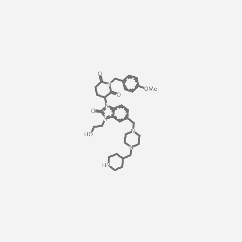 COc1ccc(CN2C(=O)CCC(n3c(=O)n(CCO)c4cc(CN5CCN(CC6CCNCC6)CC5)ccc43)C2=O)cc1